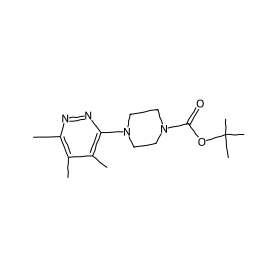 Cc1nnc(N2CCN(C(=O)OC(C)(C)C)CC2)c(C)c1C